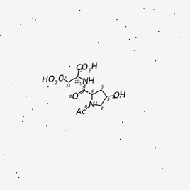 CC(=O)N1CC(O)CC1C(=O)NC(CC(=O)O)C(=O)O